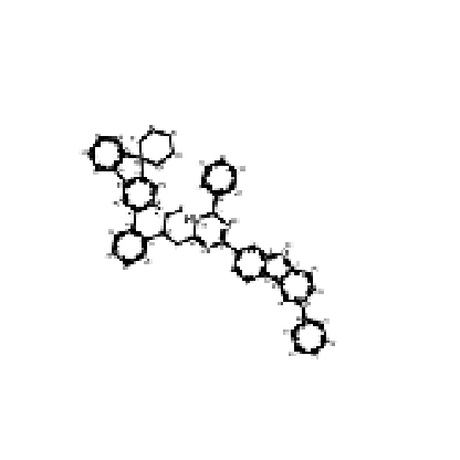 CCC(CC1=NC(c2ccc3c(c2)oc2ccc(-c4ccccc4)cc23)=NC(c2ccccc2)N1)c1ccccc1-c1cc2c(cc1C)C1(CCCCC1)c1ccccc1-2